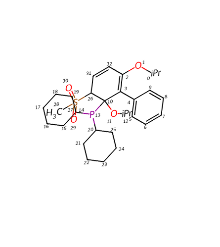 CC(C)OC1=C(c2ccccc2)C(OC(C)C)(P(C2CCCCC2)C2CCCCC2)C(S(C)(=O)=O)C=C1